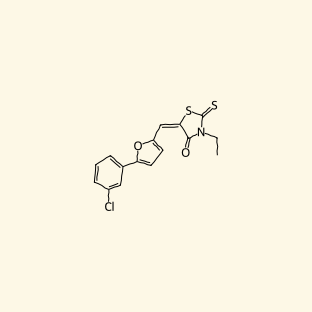 CCN1C(=O)/C(=C\c2ccc(-c3cccc(Cl)c3)o2)SC1=S